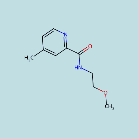 COCCNC(=O)c1cc(C)ccn1